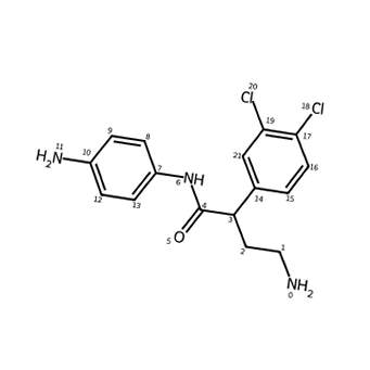 NCCC(C(=O)Nc1ccc(N)cc1)c1ccc(Cl)c(Cl)c1